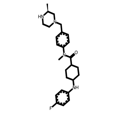 C[C@H]1CN(Cc2ccc(N(C)C(=O)C3CCC(Nc4ccc(F)cc4)CC3)cc2)CCN1